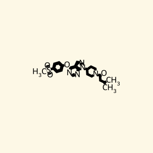 CC(C)CC(=O)N1CCC(n2ncc3c(Oc4ccc(S(C)(=O)=O)cc4)ncnc32)CC1